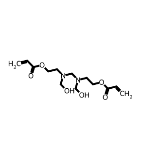 C=CC(=O)OCCN(CO)CN(CO)CCOC(=O)C=C